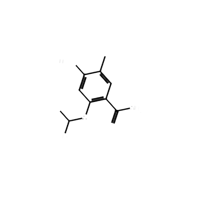 CCC(CC)Nc1cc(C(=O)O)c(C)cc1C(N)=O